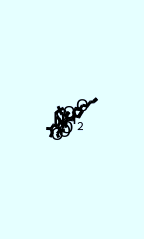 C=CCCOc1ccc(CC(C(=O)OC(C)(C)C)C(=O)N(N)C(CC(C)CC)C(=O)OC)cc1